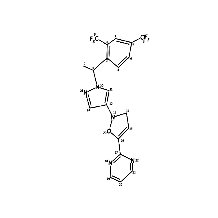 CC(c1ccc(C(F)(F)F)cc1C(F)(F)F)n1cc(N2CC=C(c3ncccn3)O2)cn1